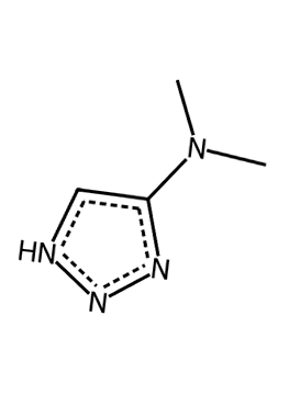 CN(C)c1c[nH]nn1